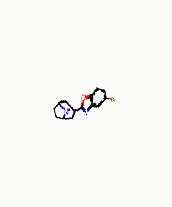 CN1C2CCC1CC(c1nc3cc(Br)ccc3o1)C2